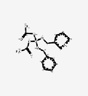 O=C(O[Si](OCc1ccccc1)(OCc1ccccc1)OC(=O)C(F)(F)F)C(F)(F)F